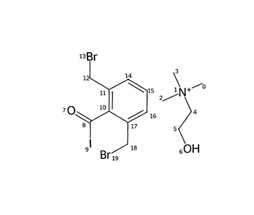 C[N+](C)(C)CCO.O=C(I)c1c(CBr)cccc1CBr